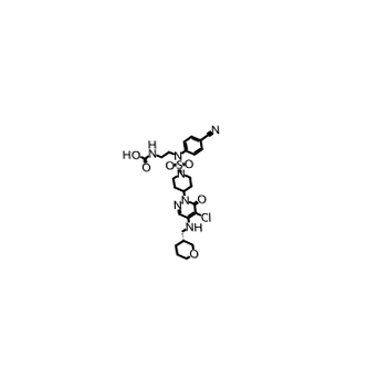 N#Cc1ccc(N(CCNC(=O)O)S(=O)(=O)N2CCC(n3ncc(NC[C@H]4CCCOC4)c(Cl)c3=O)CC2)cc1